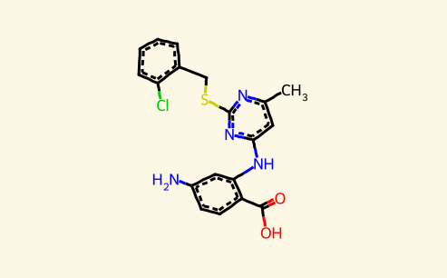 Cc1cc(Nc2cc(N)ccc2C(=O)O)nc(SCc2ccccc2Cl)n1